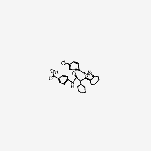 O=C(O)c1ccc(NC(=O)C(c2c3c(nn2-c2ccc(Cl)cc2)CCCC3)C2CCCCC2)cc1